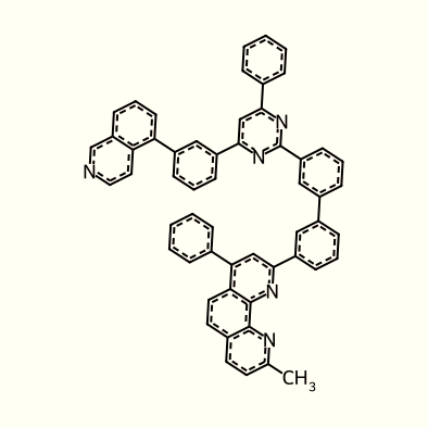 Cc1ccc2ccc3c(-c4ccccc4)cc(-c4cccc(-c5cccc(-c6nc(-c7ccccc7)cc(-c7cccc(-c8cccc9cnccc89)c7)n6)c5)c4)nc3c2n1